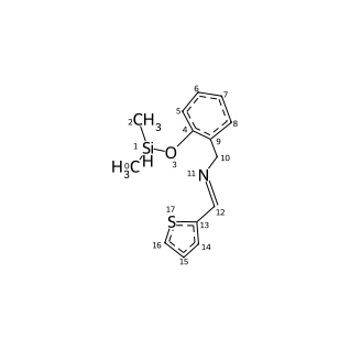 C[SiH](C)Oc1ccccc1CN=Cc1cccs1